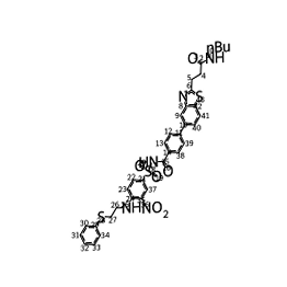 CCCCNC(=O)CCc1nc2cc(-c3ccc(C(=O)NS(=O)(=O)c4ccc(NCCSc5ccccc5)c([N+](=O)[O-])c4)cc3)ccc2s1